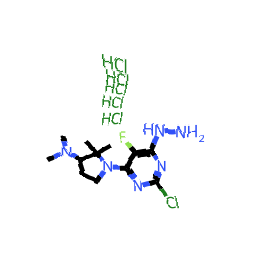 CN(C)C1CCN(c2nc(Cl)nc(NN)c2F)C1(C)C.Cl.Cl.Cl.Cl.Cl